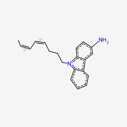 C/C=C\C=C/CCCn1c2ccccc2c2cc(N)ccc21